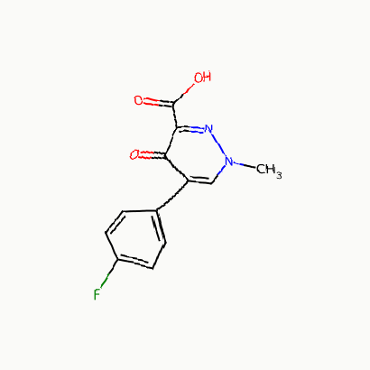 Cn1cc(-c2ccc(F)cc2)c(=O)c(C(=O)O)n1